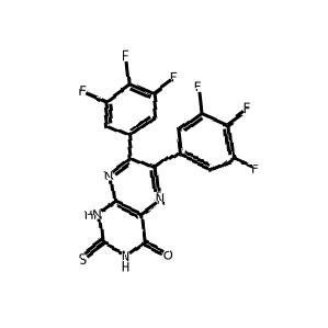 O=c1[nH]c(=S)[nH]c2nc(-c3cc(F)c(F)c(F)c3)c(-c3cc(F)c(F)c(F)c3)nc12